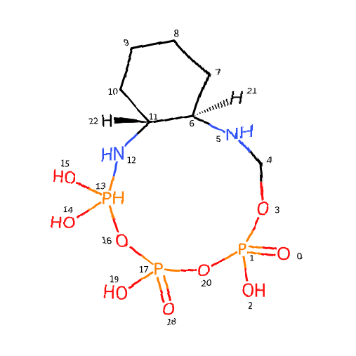 O=P1(O)OCN[C@@H]2CCCC[C@H]2N[PH](O)(O)OP(=O)(O)O1